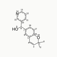 CC1(C)C=Cc2cc(C(O)c3cccnc3)ccc2O1